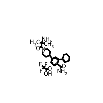 CC(C)(N)C(=O)N1CCC(c2ccc(C(N)=O)c(C3=CCCCC3)c2)CC1.O=C(O)C(F)(F)F